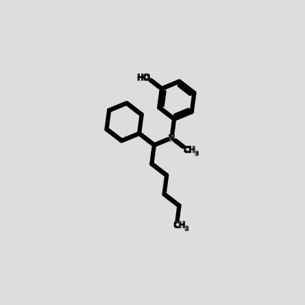 CCCCCC(C1CCCCC1)N(C)c1cccc(O)c1